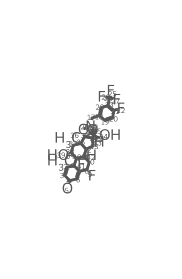 C[C@]12C=CC(=O)C=C1[C@@H](F)C[C@H]1C3C[C@H]4CN(Cc5ccc(F)c(C(F)(F)F)c5)O[C@@]4(C(=O)CO)[C@@]3(C)C[C@H](O)[C@@]12F